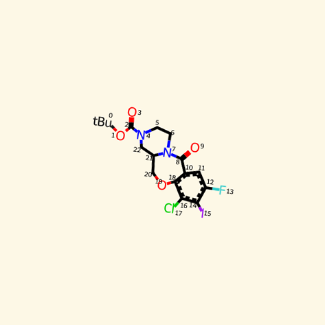 CC(C)(C)OC(=O)N1CCN2C(=O)c3cc(F)c(I)c(Cl)c3OCC2C1